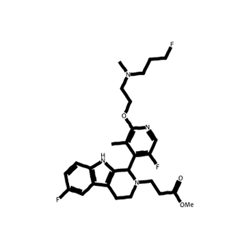 COC(=O)CCN1CCc2c([nH]c3ccc(F)cc23)C1c1c(F)cnc(OCCN(C)CCCF)c1C